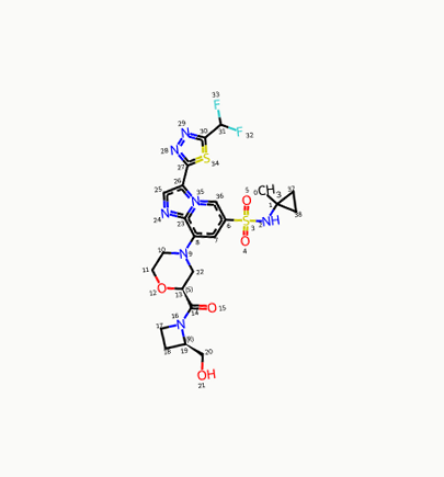 CC1(NS(=O)(=O)c2cc(N3CCO[C@H](C(=O)N4CC[C@@H]4CO)C3)c3ncc(-c4nnc(C(F)F)s4)n3c2)CC1